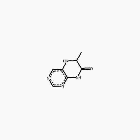 CC1Nc2cncnc2NC1=O